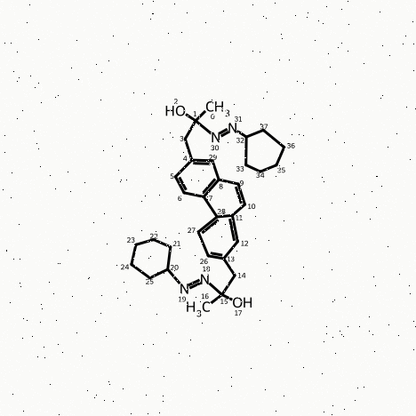 CC(O)(Cc1ccc2c(ccc3cc(CC(C)(O)N=NC4CCCCC4)ccc32)c1)N=NC1CCCCC1